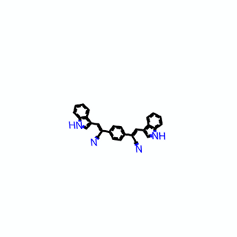 N#CC(=Cc1c[nH]c2ccccc12)c1ccc(C(C#N)=Cc2c[nH]c3ccccc23)cc1